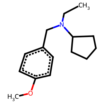 CCN(Cc1ccc(OC)cc1)C1CCCC1